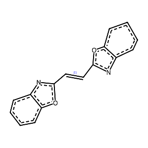 C(=C\c1nc2ccccc2o1)/c1nc2ccccc2o1